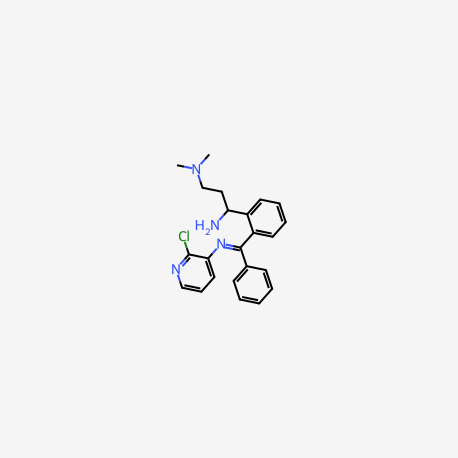 CN(C)CCC(N)c1ccccc1C(=Nc1cccnc1Cl)c1ccccc1